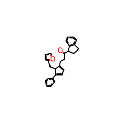 O=C(CCC1=CC=C(c2ccccc2)C1Cc1ccco1)C1CCc2ccccc21